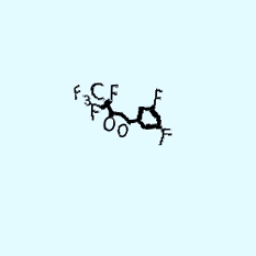 O=C(CC(=O)C(F)(F)C(F)(F)F)c1cc(F)cc(F)c1